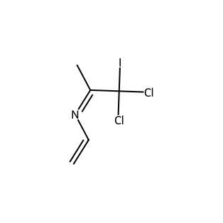 C=C/N=C(/C)C(Cl)(Cl)I